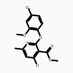 COC(=O)c1c(Cl)cc(C)nc1Oc1ccc(Cl)cc1OC